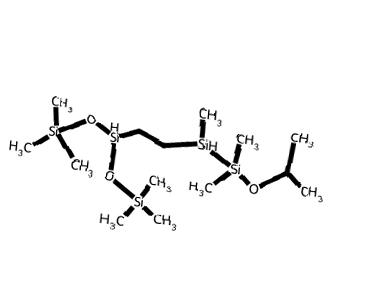 C[C](C)O[Si](C)(C)[SiH](C)CC[SiH](O[Si](C)(C)C)O[Si](C)(C)C